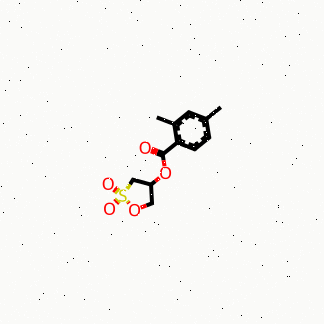 Cc1ccc(C(=O)OC2COS(=O)(=O)C2)c(C)c1